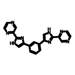 c1cc(-c2c[nH]c(-c3cnccn3)n2)cc(-c2c[nH]c(-c3cnccn3)n2)c1